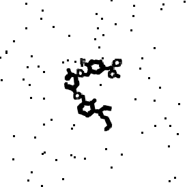 C=C/C(=C\C=C/C)c1cccc(COC(=C/C)/C=C(/OCc2cc(C(=O)OC)ccc2F)C(=C)C)c1C